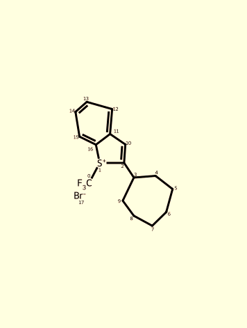 FC(F)(F)[s+]1c(C2CCCCCC2)cc2ccccc21.[Br-]